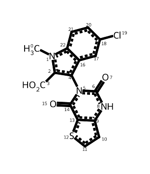 Cn1c(C(=O)O)c(-n2c(=O)[nH]c3ccsc3c2=O)c2cc(Cl)ccc21